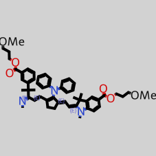 C/N=C(\C=C\C1=C(N(c2ccccc2)c2ccccc2)C(=C/C=C2/N(C)c3ccc(C(=O)OCCCOC)cc3C2(C)C)/CC1)C(C)(C)c1cccc(C(=O)OCCCOC)c1